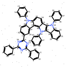 c1ccc(-c2nc(-c3ccccc3)nc(-c3ccc4c(c3)c3c(ccc5c6c(c7ccccc7n6-c6ccccc6)n(-c6ccccc6)c53)n4-c3ccccc3)n2)cc1